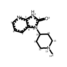 O=c1[nH]c2ncccc2n1C1CCN(I)CC1